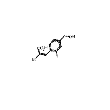 CCC(=Cc1ccc(CO)cc1C)C(=O)O